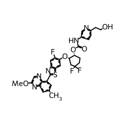 COc1cnc2c(-c3nc4cc(F)c(O[C@H]5CC(F)(F)CC[C@H]5OC(=O)Nc5ccc(CCO)nc5)cc4s3)cc(C)cc2n1